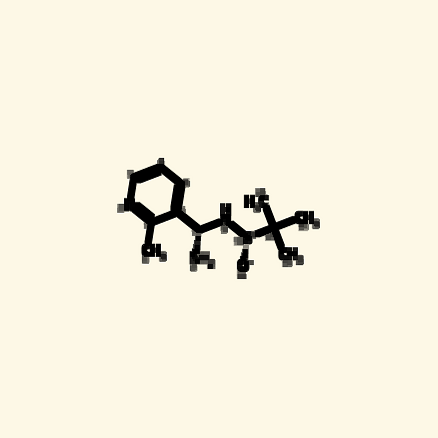 Cc1ncccc1[C@@H](N)N[S@@+]([O-])C(C)(C)C